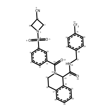 N#CC1CN(S(=O)(=O)c2cccc(C(=O)N3CCc4ccccc4C3C(=O)NCc3ccc(C(F)(F)F)cc3)c2)C1